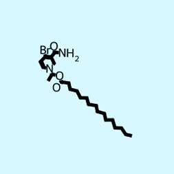 CCCCCCCCCCCCCCCC(=O)OC(C)N1C=CC(Br)=C(C(N)=O)C1